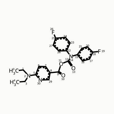 CCN(CC)c1ccc(C(=O)OC(=O)N(c2ccc(F)cc2)c2ccc(F)cc2)cn1